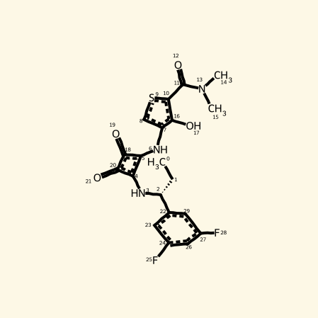 CC[C@@H](Nc1c(Nc2csc(C(=O)N(C)C)c2O)c(=O)c1=O)c1cc(F)cc(F)c1